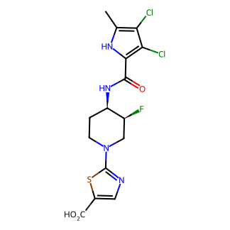 Cc1[nH]c(C(=O)N[C@@H]2CCN(c3ncc(C(=O)O)s3)C[C@@H]2F)c(Cl)c1Cl